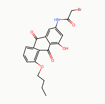 CCCCOc1cccc2c1C(=O)c1c(O)cc(NC(=O)CBr)cc1C2=O